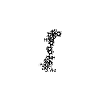 COC(=O)N[C@H](C(=O)N1CCCC1c1ncc(-c2ccc3cc(-c4ccc5nc([C@@H]6CCCN6C(=O)[C@@H](c6ccccc6)N(C)C)[nH]c5c4)ccc3c2)[nH]1)C(C)C